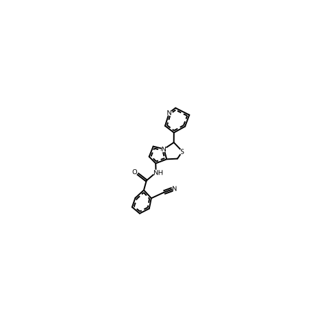 N#Cc1ccccc1C(=O)Nc1ccn2c1CSC2c1cccnc1